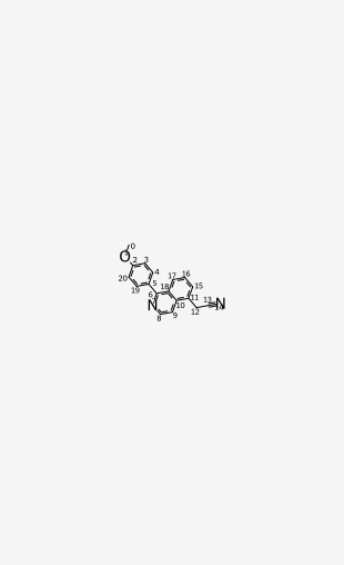 COc1ccc(-c2nccc3c(CC#N)cccc23)cc1